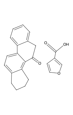 O=C(O)c1ccoc1.O=C1Cc2ccccc2-c2ccc3c(c21)CCCC3